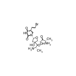 C[C@H](N)C(=O)C(O)[C@H]1O[C@@H](n2cc(/C=C/Br)c(=O)[nH]c2=O)C[C@@]1(O)C(=O)[C@H](C)N